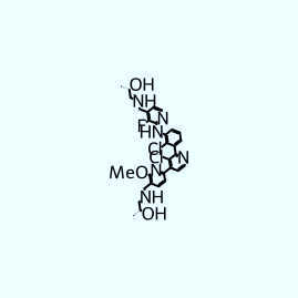 COc1nc(-c2ccnc(-c3cccc(Nc4nccc(CNC[C@H](C)O)c4F)c3Cl)c2Cl)ccc1CNC[C@@H](C)O